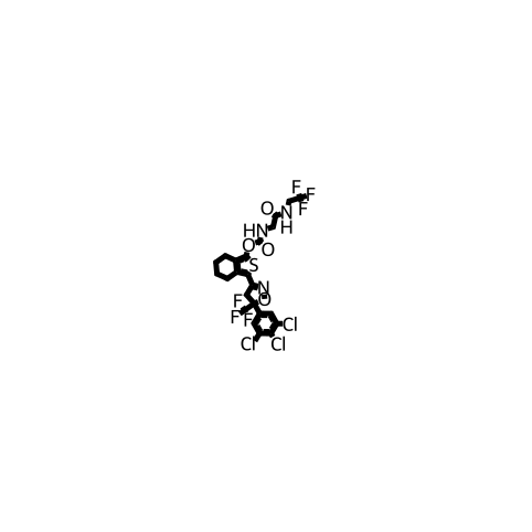 O=C(CNC(=O)Oc1sc(C2=NOC(c3cc(Cl)c(Cl)c(Cl)c3)(C(F)(F)F)C2)c2c1CCCC2)NCC(F)(F)F